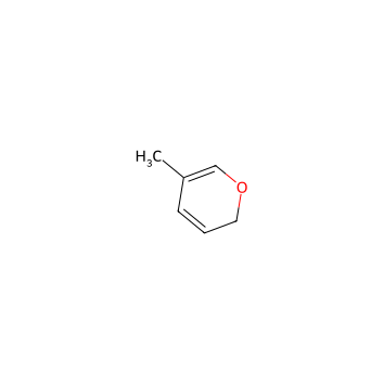 CC1=COCC=C1